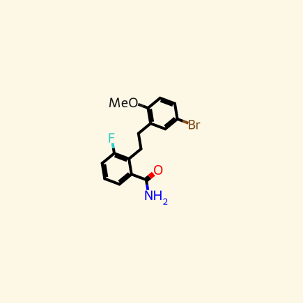 COc1ccc(Br)cc1CCc1c(F)cccc1C(N)=O